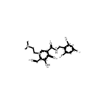 CN(C)CCn1cc(C(=O)NCc2c(F)cc(F)cc2F)c(=O)c(O)c1C=O